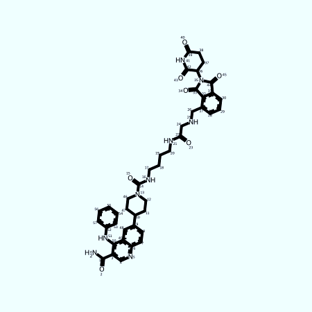 NC(=O)c1cnc2ccc(C3CCN(C(=O)NCCCCNC(=O)CNCc4cccc5c4C(=O)N(C4CCC(=O)NC4=O)C5=O)CC3)cc2c1Nc1ccccc1